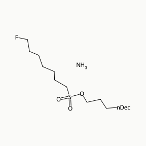 CCCCCCCCCCCCCOS(=O)(=O)CCCCCCCF.N